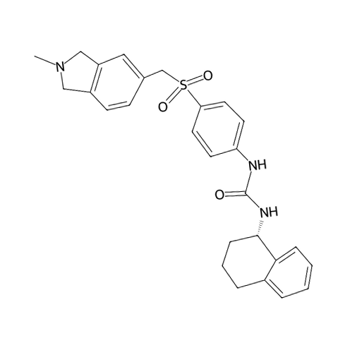 CN1Cc2ccc(CS(=O)(=O)c3ccc(NC(=O)N[C@H]4CCCc5ccccc54)cc3)cc2C1